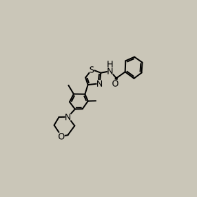 Cc1cc(N2CCOCC2)cc(C)c1-c1csc(NC(=O)c2ccccc2)n1